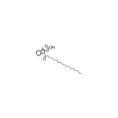 CCCCCCCCCCCCCCCCCC(=O)c1c(OC(=O)O)n(C)c2ccccc12